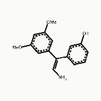 COc1cc(OC)cc(C(=CN)c2cccc(O)c2)c1